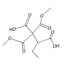 CCC(C(=O)O)C(C(=O)O)(C(=O)OC)C(=O)OC